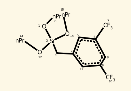 CCCO[Si](Cc1cc(C(F)(F)F)cc(C(F)(F)F)c1)(OCCC)OCCC